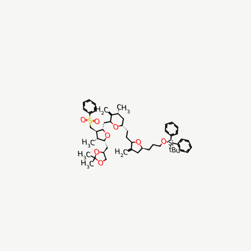 C=C1C[C@H](CCCO[Si](c2ccccc2)(c2ccccc2)C(C)(C)C)OC1CC[C@H]1C[C@@H](C)C(=C)C(C[C@@H]2O[C@H](C[C@H]3COC(C)(C)O3)[C@H](C)[C@H]2CS(=O)(=O)c2ccccc2)O1